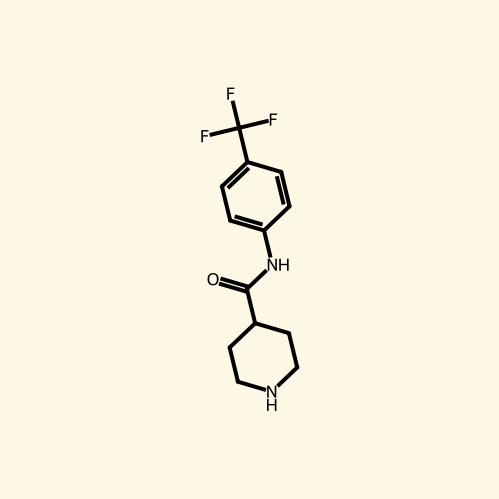 O=C(Nc1ccc(C(F)(F)F)cc1)C1CCNCC1